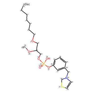 CCCCCCCCCCCCCCCCOCC(COP(=O)(O)Oc1cccc(CN2C=CSC2)c1)OCCC